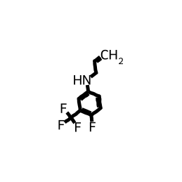 C=CCNc1ccc(F)c(C(F)(F)F)c1